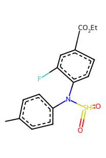 CCOC(=O)c1ccc(N(c2ccc(C)cc2)[SH](=O)=O)c(F)c1